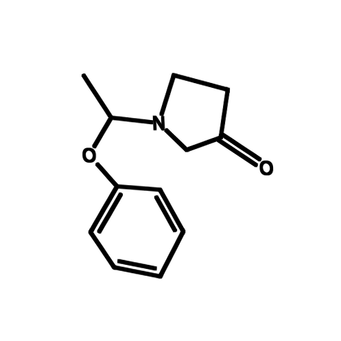 CC(Oc1ccccc1)N1CCC(=O)C1